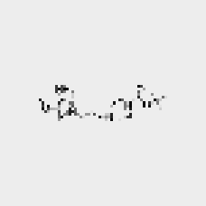 COc1nn(CCCN2CCN(C(=O)OC(C)(C)C)CC2)cc1N